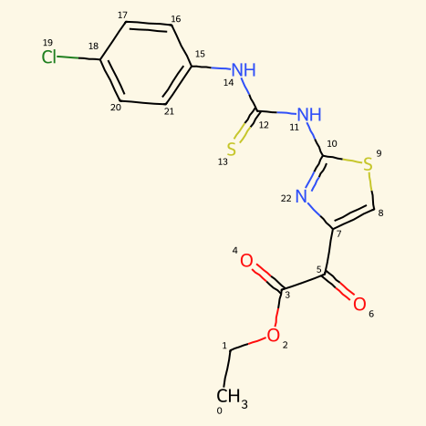 CCOC(=O)C(=O)c1csc(NC(=S)Nc2ccc(Cl)cc2)n1